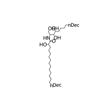 CCCCCCCCCCCCCCCCCCCCCCC(O)C(=O)NC(CO)C(O)C(O)CCCCCCCCCCCCCC